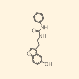 O=C(NCCc1coc2ccc(O)cc12)Nc1ccccc1